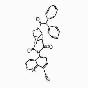 N#Cc1ccc(N2C(=O)C3C4CC(CN4C(=O)C(c4ccccc4)c4ccccc4)N3C2=O)c2cccnc12